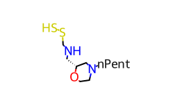 CCCCCN1CCO[C@H](CNCSS)C1